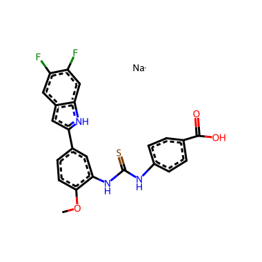 COc1ccc(-c2cc3cc(F)c(F)cc3[nH]2)cc1NC(=S)Nc1ccc(C(=O)O)cc1.[Na]